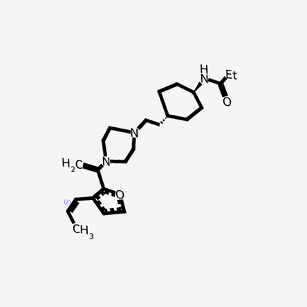 C=C(c1occc1/C=C\C)N1CCN(CC[C@H]2CC[C@H](NC(=O)CC)CC2)CC1